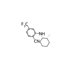 C[C@@H]1CCCC[C@@H]1Nc1cc(C(F)(F)F)ccc1C#N